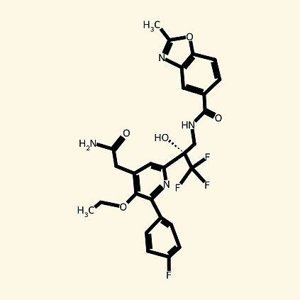 CCOc1c(CC(N)=O)cc([C@@](O)(CNC(=O)c2ccc3oc(C)nc3c2)C(F)(F)F)nc1-c1ccc(F)cc1